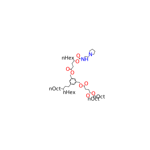 CC[CH]CCCCCC(CCCCCC)CCc1cc(COC(=O)CCC(CCCCCC)OC(=O)NCCN2CCCC2)cc(COC(=O)CCC(OCCCCCCCC)OCCCCCCCC)c1